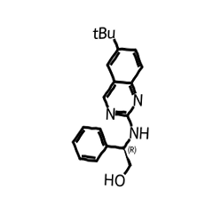 CC(C)(C)c1ccc2nc(N[C@@H](CO)c3ccccc3)ncc2c1